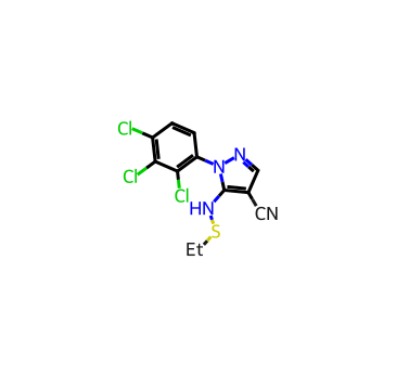 CCSNc1c(C#N)cnn1-c1ccc(Cl)c(Cl)c1Cl